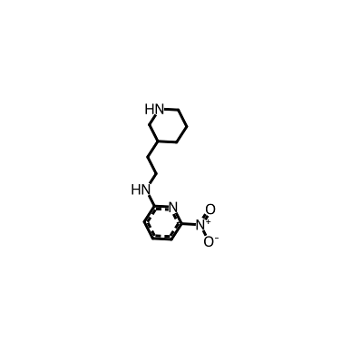 O=[N+]([O-])c1cccc(NCCC2CCCNC2)n1